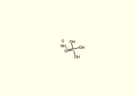 N.O=P(O)(O)O.[S]